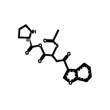 CC(=O)SC(CC(=O)c1coc2ccccc12)C(=O)OC(=O)[C@@H]1CCCN1